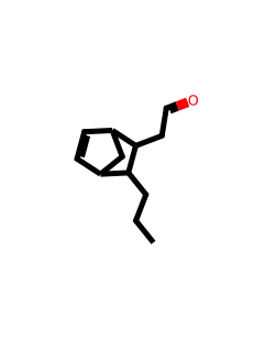 CCCC1C2C=CC(C2)C1CC=O